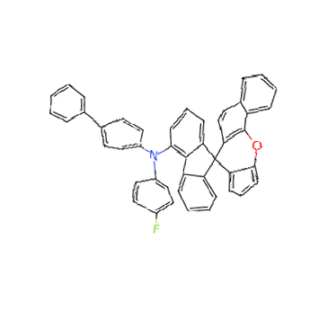 Fc1ccc(N(c2ccc(-c3ccccc3)cc2)c2cccc3c2-c2ccccc2C32c3ccccc3Oc3c2ccc2ccccc32)cc1